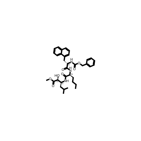 CCCC[C@H](NC(=O)[C@H](Cc1cccc2ccccc12)NC(=O)OCc1ccccc1)C(=O)N[C@@H](CC(C)C)[C@H](O)C(=O)OC